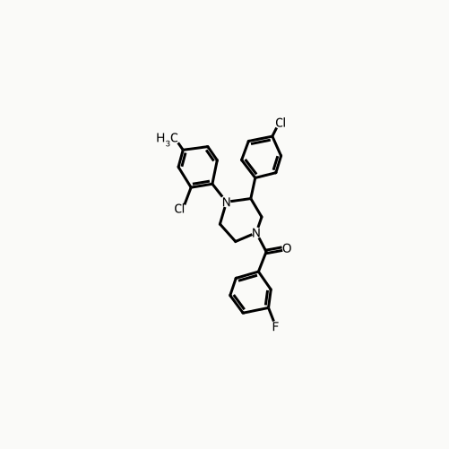 Cc1ccc(N2CCN(C(=O)c3cccc(F)c3)CC2c2ccc(Cl)cc2)c(Cl)c1